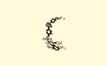 C#CCS/C(=N\C(=O)N(CC)CCc1ccc(-c2ncn(-c3ccc(OC(F)(F)F)cc3)n2)cc1)Nc1cc(C)ccc1C(C)C